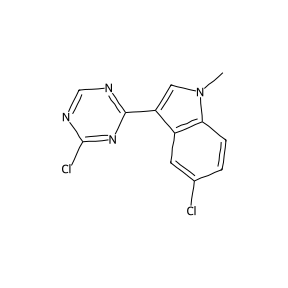 Cn1cc(-c2ncnc(Cl)n2)c2cc(Cl)ccc21